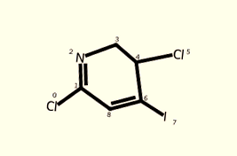 ClC1=NCC(Cl)C(I)=C1